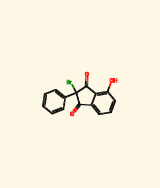 O=C1c2cccc(O)c2C(=O)C1(Br)c1ccccc1